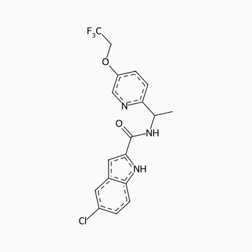 CC(NC(=O)c1cc2cc(Cl)ccc2[nH]1)c1ccc(OCC(F)(F)F)cn1